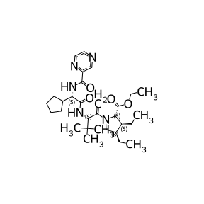 C=C([C@@H](NC(=O)[C@@H](NC(=O)c1cnccn1)C1CCCC1)C(C)(C)C)N1C[C@H](CC)[C@H](CC)[C@H]1C(=O)OCC